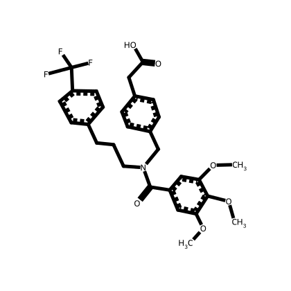 COc1cc(C(=O)N(CCCc2ccc(C(F)(F)F)cc2)Cc2ccc(CC(=O)O)cc2)cc(OC)c1OC